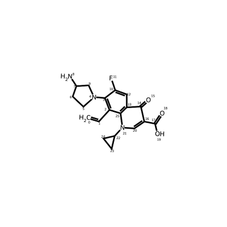 C=Cc1c(N2CCC(N)C2)c(F)cc2c(=O)c(C(=O)O)cn(C3CC3)c12